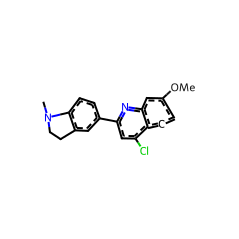 COc1ccc2c(Cl)cc(-c3ccc4c(c3)CCN4C)nc2c1